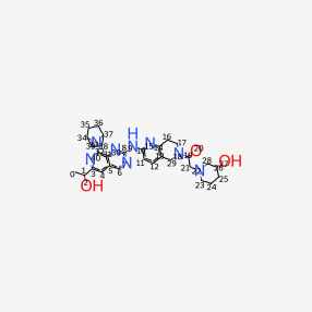 CC(O)c1cc2cnc(Nc3ccc4c(n3)CCN(C(=O)CN3CCCC(O)C3)C4)nc2c(N2C3CCC2CC3)n1